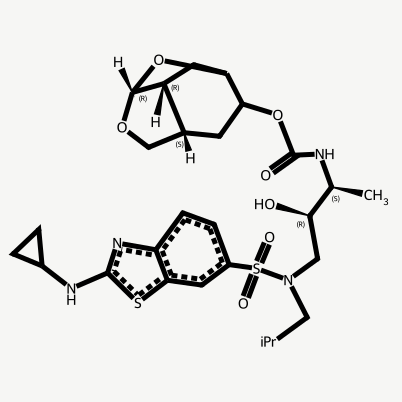 CC(C)CN(C[C@@H](O)[C@H](C)NC(=O)OC1C[C@@H]2CO[C@@H]3OC1C[C@H]23)S(=O)(=O)c1ccc2nc(NC3CC3)sc2c1